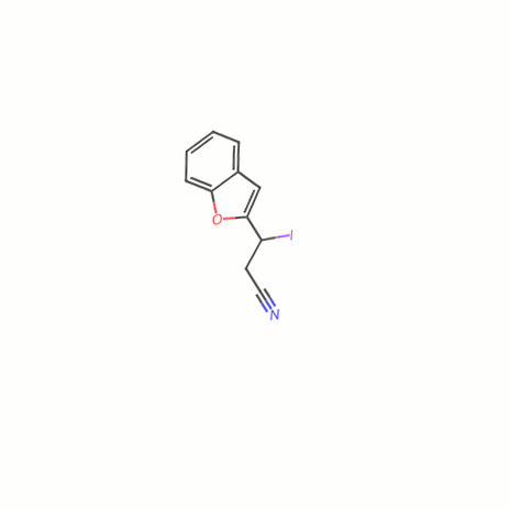 N#CCC(I)c1cc2ccccc2o1